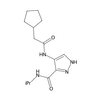 CC(C)NC(=O)c1n[nH]cc1NC(=O)CC1CCCC1